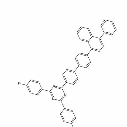 Fc1ccc(-c2nc(-c3ccc(F)cc3)nc(-c3ccc(-c4ccc(-c5ccc(-c6ccccc6)c6ccccc56)cc4)cc3)n2)cc1